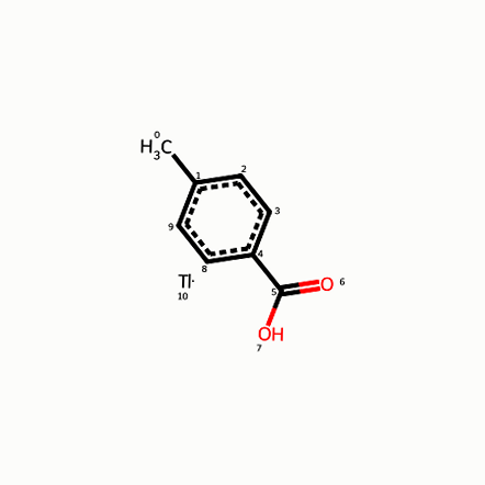 Cc1ccc(C(=O)O)cc1.[Tl]